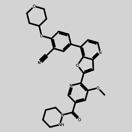 COc1cc(C(=O)N2CCCCN2)cnc1-c1cc2nccc(-c3ccc(OC4CCOCC4)c(C#N)c3)c2o1